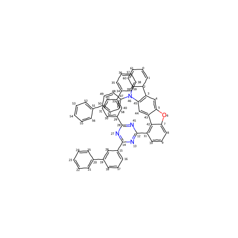 C1=CC2c3cc4oc5cccc(-c6nc(-c7cccc(-c8ccccc8)c7)nc(-c7cccc(-c8ccccc8)c7)n6)c5c4cc3N(c3ccc(-c4ccccc4)cc3)C2C=C1